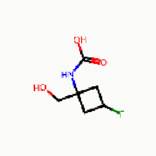 O=C(O)NC1(CO)CC(F)C1